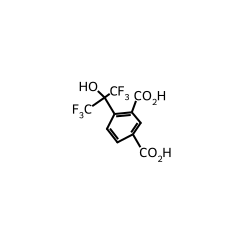 O=C(O)c1ccc(C(O)(C(F)(F)F)C(F)(F)F)c(C(=O)O)c1